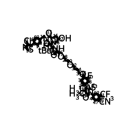 Cc1ncsc1-c1ccc(CNC(=O)C2CC(O)CN2C(=O)[C@@H](NC(=O)COCCCOCCCCOc2ccc(N3C(=S)N(c4ccc(C#N)c(C(F)(F)F)c4)C(=O)C3(C)C)cc2F)C(C)(C)C)cc1